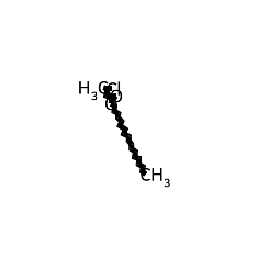 CCCCCCCCCCCCCCCCCCCOC(=O)CC(C)Cl